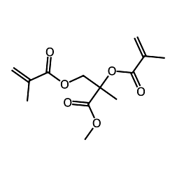 C=C(C)C(=O)OCC(C)(OC(=O)C(=C)C)C(=O)OC